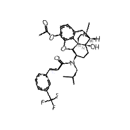 CC(=O)Oc1ccc2c3c1OC1C(N(CC(C)C)C(=O)/C=C/c4cccc(C(F)(F)F)c4)CC[C@@]4(O)[C@@H](C2)N(C)CC[C@]314